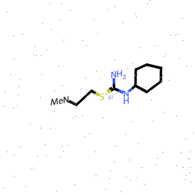 CNCC/[S+]=C(\N)NC1CCCCC1